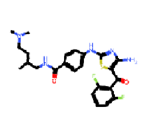 CC(CCN(C)C)CNC(=O)c1ccc(Nc2nc(N)c(C(=O)c3c(F)cccc3F)s2)cc1